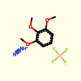 COc1cccc(OC)c1OC.F[B-](F)(F)F.N#[NH+]